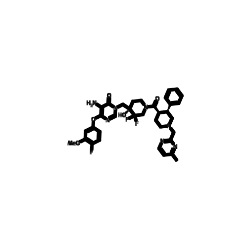 COc1cc(Oc2ncn(C[C@@]3(O)CCN(C(=O)[C@@H]4CCN(Cc5nccc(C)n5)C[C@H]4c4ccccc4)CC3(F)F)c(=O)c2N)ccc1F